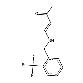 CC(=O)C=CNCc1ccccc1C(F)(F)F